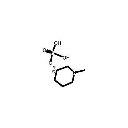 CN1CCC[C@H](OP(=O)(O)O)C1